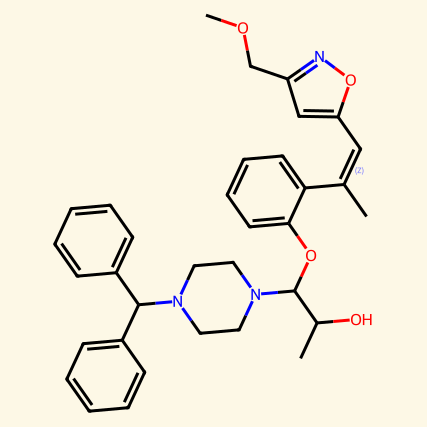 COCc1cc(/C=C(/C)c2ccccc2OC(C(C)O)N2CCN(C(c3ccccc3)c3ccccc3)CC2)on1